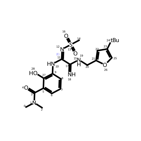 CN(C)C(=O)c1cccc(N/C(=N/S(C)(=O)=O)C(=N)NCc2cc(C(C)(C)C)co2)c1O